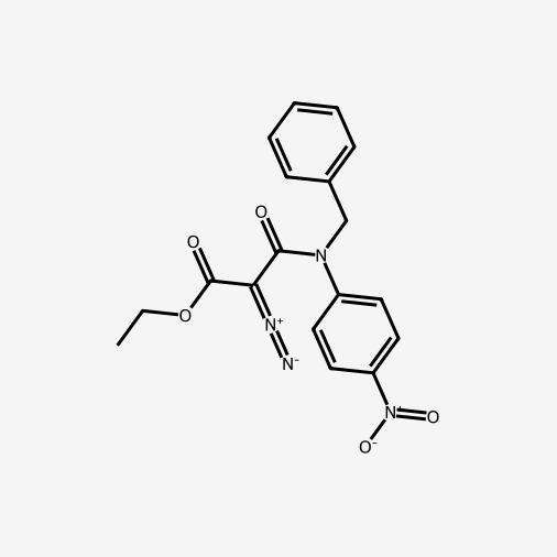 CCOC(=O)C(=[N+]=[N-])C(=O)N(Cc1ccccc1)c1ccc([N+](=O)[O-])cc1